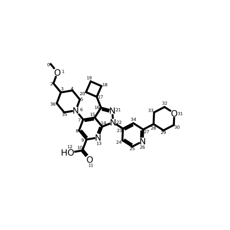 COCC1CCN(c2cc(C(=O)O)nc3c2c(C2CCC2)nn3-c2ccnc(C3CCOCC3)c2)CC1